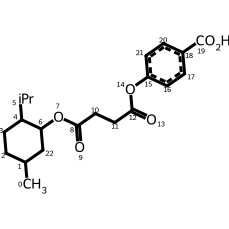 CC1CCC(C(C)C)C(OC(=O)CCC(=O)Oc2ccc(C(=O)O)cc2)C1